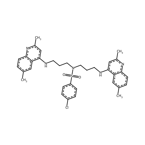 Cc1ccc2nc(C)cc(NCCCN(CCCNc3cc(C)nc4ccc(C)cc34)S(=O)(=O)c3ccc(Cl)cc3)c2c1